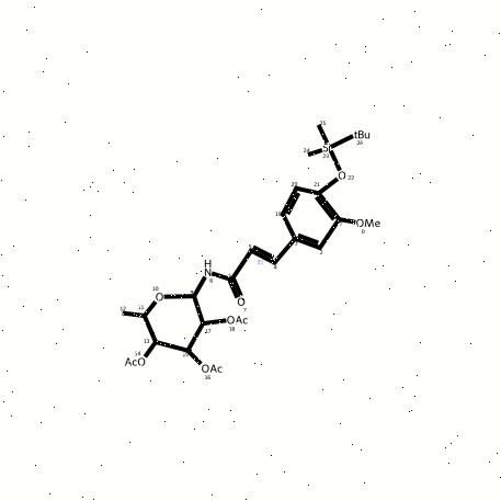 COc1cc(/C=C/C(=O)NC2OC(C)C(OC(C)=O)C(OC(C)=O)C2OC(C)=O)ccc1O[Si](C)(C)C(C)(C)C